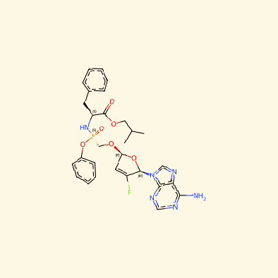 CC(C)COC(=O)[C@H](Cc1ccccc1)N[P@](=O)(CO[C@@H]1C=C(F)[C@H](n2cnc3c(N)ncnc32)O1)Oc1ccccc1